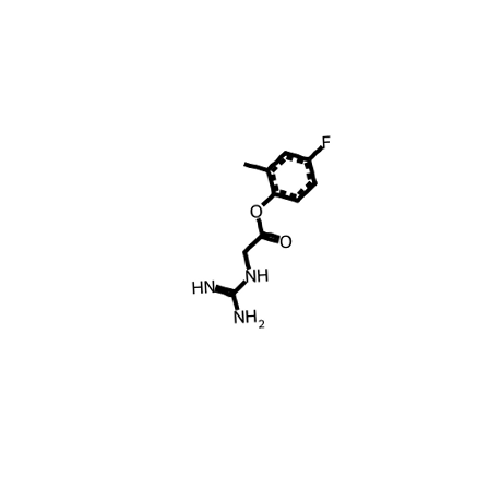 Cc1cc(F)ccc1OC(=O)CNC(=N)N